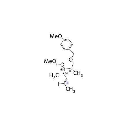 COCO[C@H]([C@@H](C)/C=C(/C)I)[C@@H](C)COCc1ccc(OC)cc1